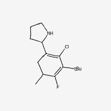 CC1CC(C2CCCN2)=C(Cl)C(C(C)(C)C)=C1F